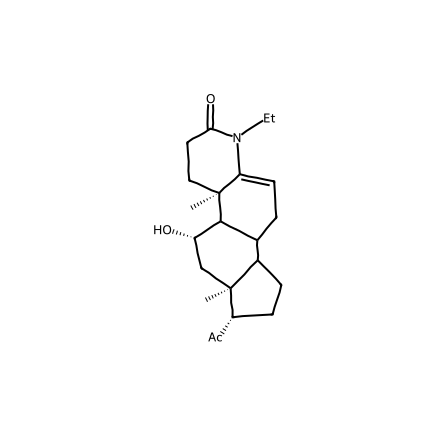 CCN1C(=O)CC[C@@]2(C)C1=CCC1C2[C@@H](O)C[C@@]2(C)C1CC[C@@H]2C(C)=O